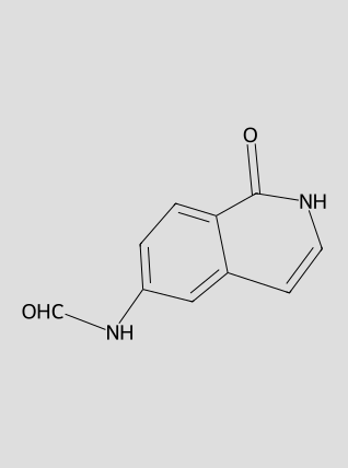 O=CNc1ccc2c(=O)[nH]ccc2c1